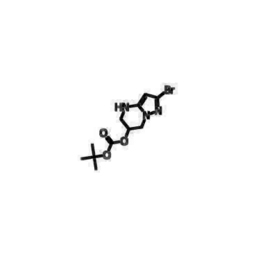 CC(C)(C)OC(=O)OC1CNc2cc(Br)nn2C1